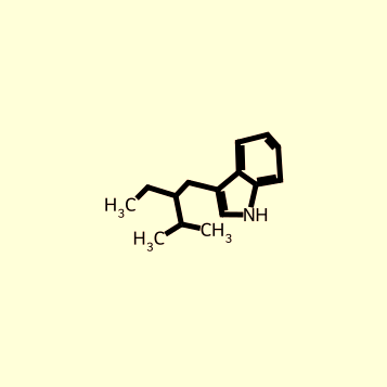 CCC(Cc1c[nH]c2ccccc12)C(C)C